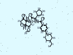 CCC1CCN(c2ccc(C(=O)N[C@H](C(=O)N3C[C@H](OC)[C@H]4OCC(=O)[C@H]43)C3CCCC3)cc2)CC1